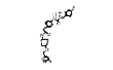 Cc1cc(COC2CCC(NC(=O)Cc3ccc(NC(=O)NCc4ccc(F)cc4)cc3)CC2)on1